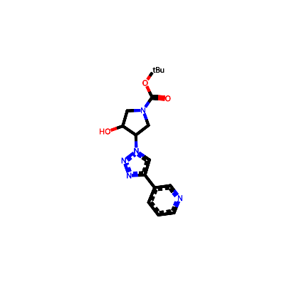 CC(C)(C)OC(=O)N1CC(O)C(n2cc(-c3cccnc3)nn2)C1